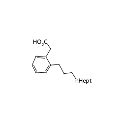 CCCCCCCCCCc1ccccc1CC(=O)O